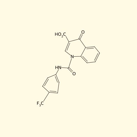 O=C(O)c1cn(C(=O)Nc2ccc(C(F)(F)F)cc2)c2ccccc2c1=O